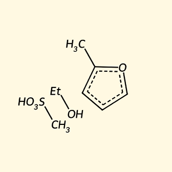 CCO.CS(=O)(=O)O.Cc1ccco1